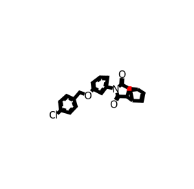 O=C1C2C3C=CC(C3)C2C(=O)N1c1cccc(OCc2ccc(Cl)cc2)c1